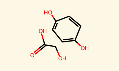 O=C(O)CO.Oc1ccc(O)cc1